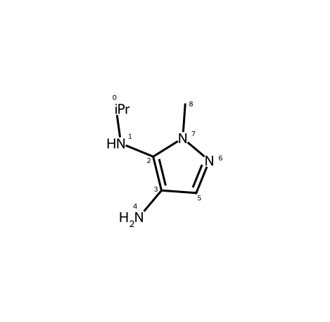 CC(C)Nc1c(N)cnn1C